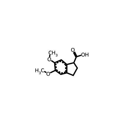 COc1cc2c(cc1OC)C(C(=O)O)CC2